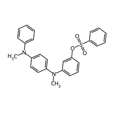 CN(c1ccccc1)c1ccc(N(C)c2cccc(OS(=O)(=O)c3ccccc3)c2)cc1